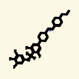 CCCC1CC=C(/C=C/C2CCC(c3cc(F)c(C(F)(F)Oc4cc(F)c(F)c(F)c4)c(F)c3)CC2)CC1